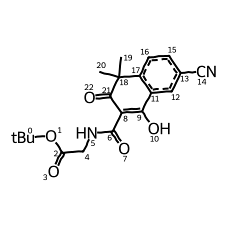 CC(C)(C)OC(=O)CNC(=O)C1=C(O)c2cc(C#N)ccc2C(C)(C)C1=O